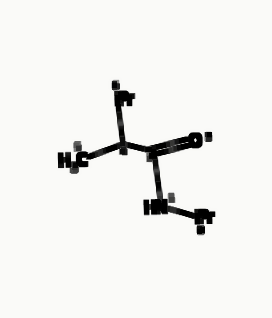 CC(C)NC(=O)C(C)C(C)C